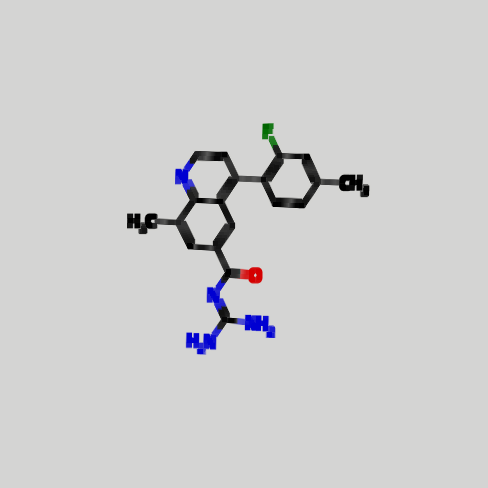 Cc1ccc(-c2ccnc3c(C)cc(C(=O)N=C(N)N)cc23)c(F)c1